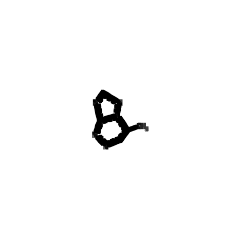 Cc1cnnc2ncnn12